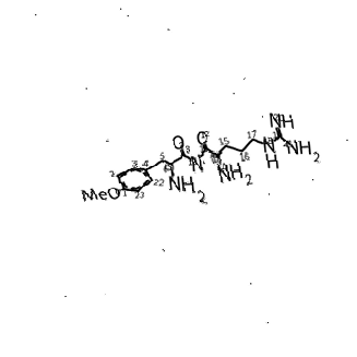 COc1ccc(C[C@H](N)C(=O)[N]C(=O)[C@@H](N)CCCNC(=N)N)cc1